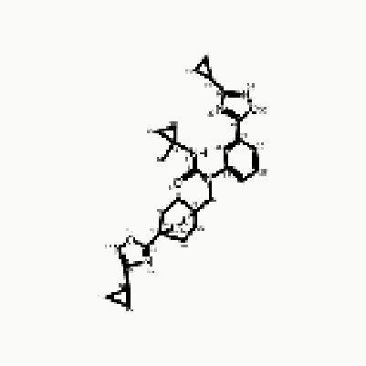 CC1(NC(=O)N(CC23CCC(c4nc(C5CC5)no4)(CC2)CC3)c2cccc(-c3nc(C4CC4)no3)c2)CC1